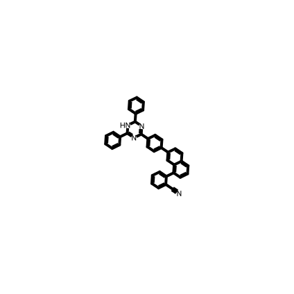 N#Cc1ccccc1-c1cccc2ccc(-c3ccc(C4=NC(c5ccccc5)NC(c5ccccc5)=N4)cc3)cc12